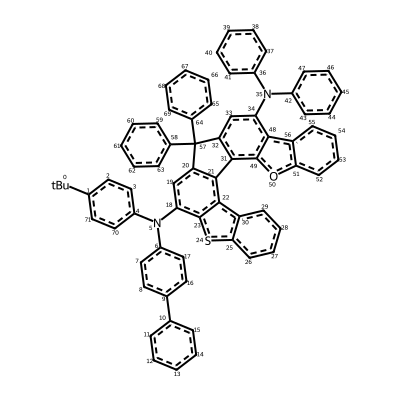 CC(C)(C)c1ccc(N(c2ccc(-c3ccccc3)cc2)c2cc3c(c4c2sc2ccccc24)-c2c(cc(N(c4ccccc4)c4ccccc4)c4c2oc2ccccc24)C3(c2ccccc2)c2ccccc2)cc1